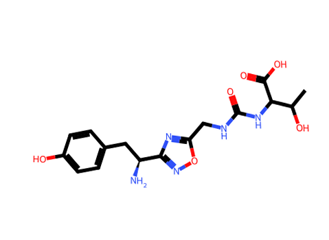 CC(O)C(NC(=O)NCc1nc([C@@H](N)Cc2ccc(O)cc2)no1)C(=O)O